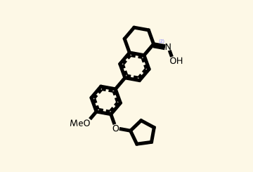 COc1ccc(-c2ccc3c(c2)CCC/C3=N/O)cc1OC1CCCC1